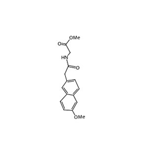 COC(=O)CNC(=O)Cc1ccc2cc(OC)ccc2c1